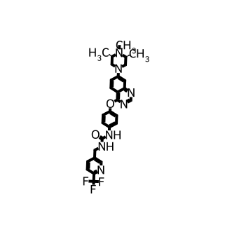 C[C@@H]1CN(c2ccc3c(Oc4ccc(NC(=O)NCc5ccc(C(F)(F)F)nc5)cc4)ncnc3c2)C[C@H](C)N1C